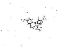 Cc1cn(C2(C(=O)Nc3ccc(C(F)(F)F)cc3Cl)CCC2)nc1C1CC1